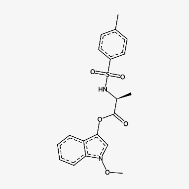 COn1cc(OC(=O)[C@H](C)NS(=O)(=O)c2ccc(C)cc2)c2ccccc21